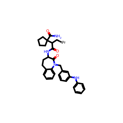 CC(C)CC(C(=O)NC1CCc2ccccc2N(Cc2cccc(Nc3ccccc3)c2)C1=O)C1(C(N)=O)CCCC1